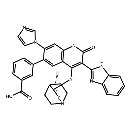 O=C(O)c1cccc(-c2cc3c(N[C@H]4CN5CCC4CC5)c(-c4nc5ccccc5[nH]4)c(=O)[nH]c3cc2-n2ccnc2)c1